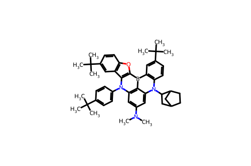 CN(C)c1cc2c3c(c1)N(C1CC4CCC1C4)c1ccc(C(C)(C)C)cc1B3c1oc3ccc(C(C)(C)C)cc3c1N2c1ccc(C(C)(C)C)cc1